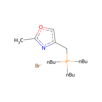 CCCC[P+](CCCC)(CCCC)Cc1coc(C)n1.[Br-]